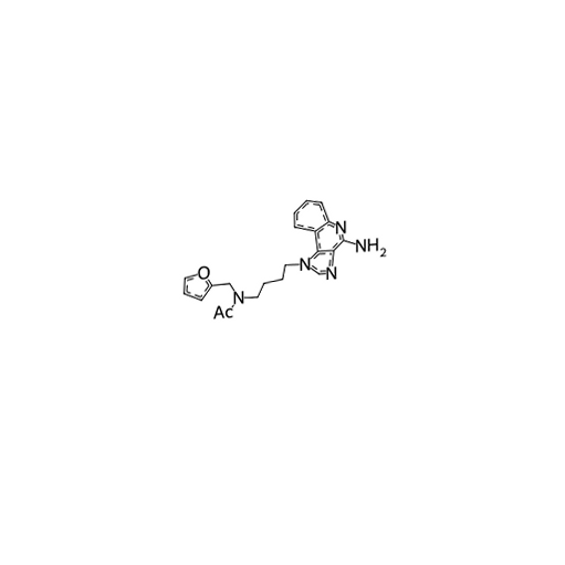 CC(=O)N(CCCCn1cnc2c(N)nc3ccccc3c21)Cc1ccco1